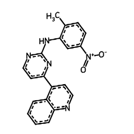 Cc1ccc([N+](=O)[O-])cc1Nc1nccc(-c2ccnc3ccccc23)n1